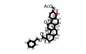 CC(=O)O/N=C1\CC[C@]2(C)[C@H]3C(=O)C=C4[C@@H]5C[C@@](C)(C(=O)OCc6ccccc6)CC[C@]5(C)CC[C@@]4(C)[C@]3(C)CC[C@]23N=C[C@]13C